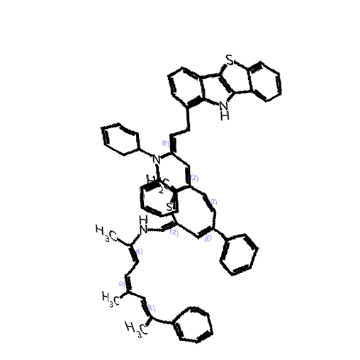 C=C1SC(=C\N/C(C)=C/C=C(C)\C=C(/C)c2ccccc2)/C=C(c2ccccc2)\C=C/C1=C/C(=C\Cc1cccc2c1[nH]c1c3ccccc3sc21)N(c1ccccc1)C1C=CC=CC1